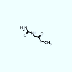 C[N]C(=O)CNC(N)=O